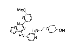 COc1cccc(-c2nc(Nc3ccnc(NCCN4CCC(O)CC4)c3)c3cccn3n2)n1